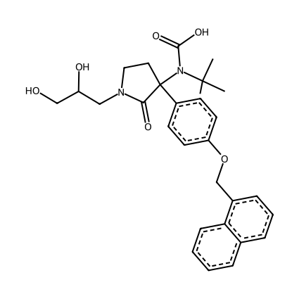 CC(C)(C)N(C(=O)O)C1(c2ccc(OCc3cccc4ccccc34)cc2)CCN(CC(O)CO)C1=O